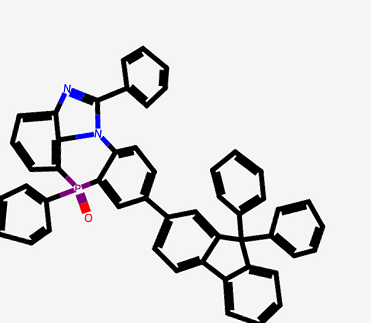 O=P1(c2ccccc2)c2cc(-c3ccc4c(c3)C(c3ccccc3)(c3ccccc3)c3ccccc3-4)ccc2-n2c(-c3ccccc3)nc3cccc1c32